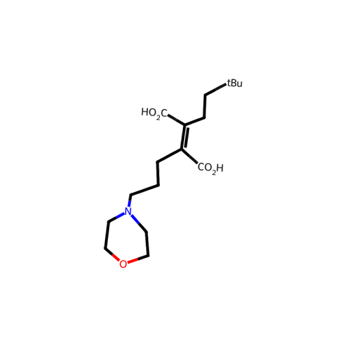 CC(C)(C)CC/C(C(=O)O)=C(/CCCN1CCOCC1)C(=O)O